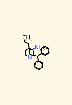 C=CCC12CCN(CC1)C(C(c1ccccc1)c1ccccc1)C2N